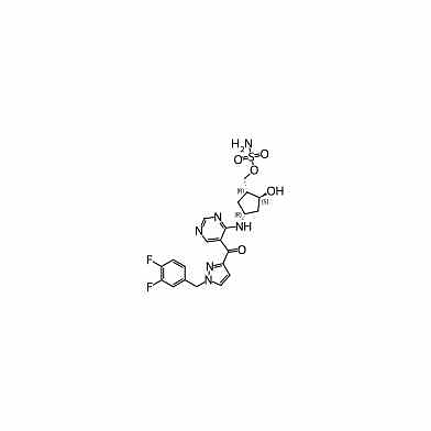 NS(=O)(=O)OC[C@H]1C[C@@H](Nc2ncncc2C(=O)c2ccn(Cc3ccc(F)c(F)c3)n2)C[C@@H]1O